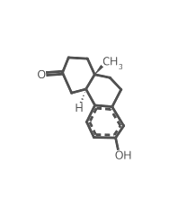 C[C@]12CCC(=O)C[C@@H]1c1ccc(O)cc1CC2